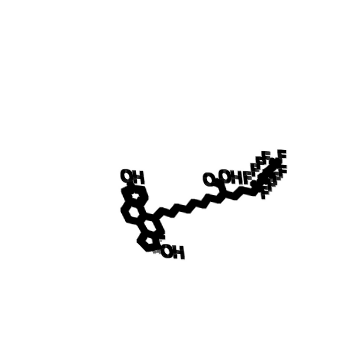 C[C@]12CC(CCCCCCCCC(CCCC(F)(F)C(F)(F)C(F)(F)C(F)(F)F)C(=O)O)C3c4ccc(O)cc4CCC3C1CC[C@@H]2O